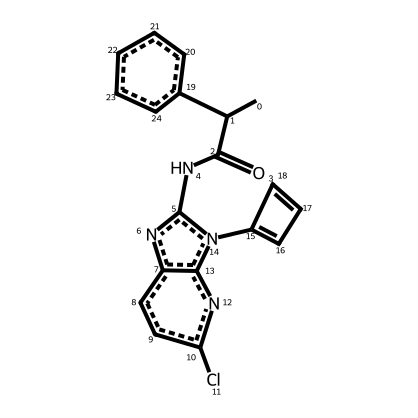 CC(C(=O)Nc1nc2ccc(Cl)nc2n1C1=CC=C1)c1ccccc1